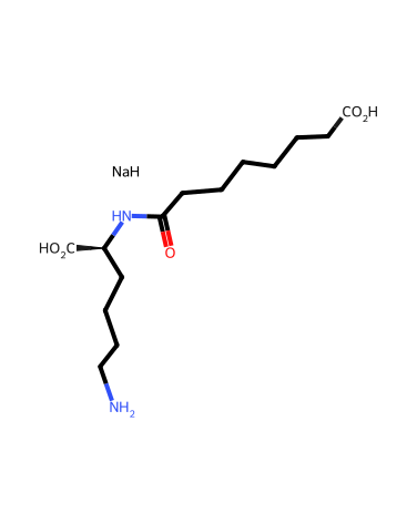 NCCCC[C@H](NC(=O)CCCCCCC(=O)O)C(=O)O.[NaH]